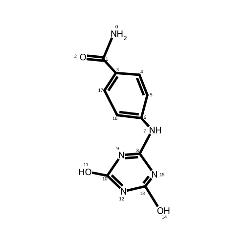 NC(=O)c1ccc(Nc2nc(O)nc(O)n2)cc1